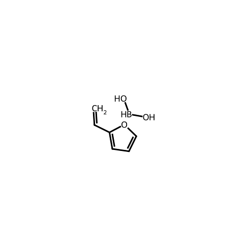 C=Cc1ccco1.OBO